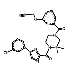 C#CCOc1cccc(C(=O)N2CCN(C(=O)c3ncn(-c4cccc(Cl)c4)n3)C(C)(C)C2)c1